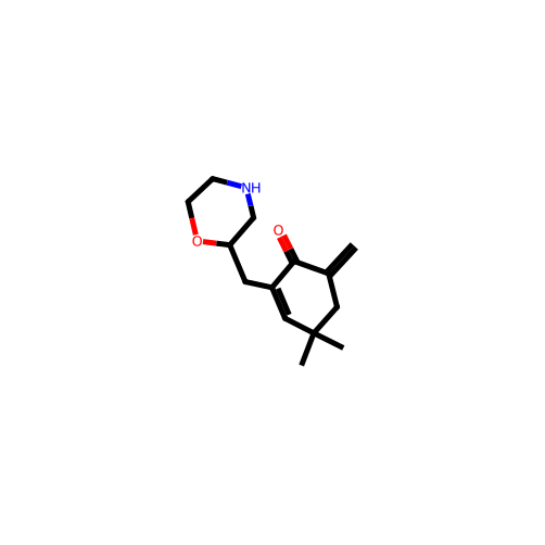 C=C1CC(C)(C)C=C(CC2CNCCO2)C1=O